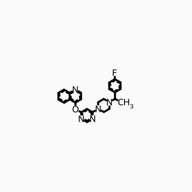 CC(c1ccc(F)cc1)N1CCN(c2cc(Oc3ccnc4ccccc34)ncn2)CC1